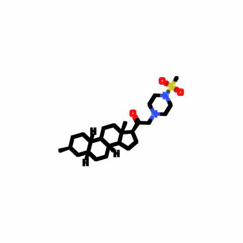 C[C@H]1CC[C@@H]2C3CC[C@@]4(C)C(CC[C@@H]4C(=O)CN4CCN(S(C)(=O)=O)CC4)[C@@H]3CC[C@@H]2C1